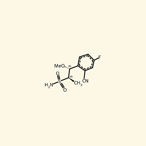 CO[C@H](c1ccc(F)cc1C#N)[C@@H](C)S(N)(=O)=O